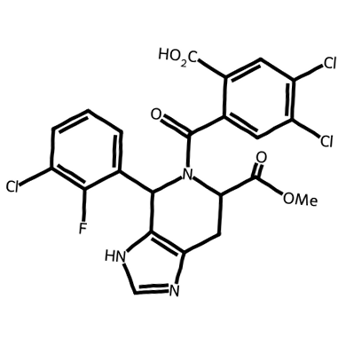 COC(=O)C1Cc2nc[nH]c2C(c2cccc(Cl)c2F)N1C(=O)c1cc(Cl)c(Cl)cc1C(=O)O